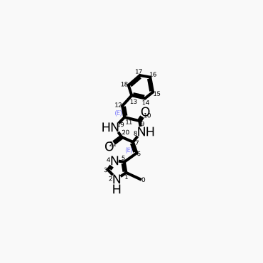 Cc1[nH]cnc1/C=c1/[nH]c(=O)/c(=C\c2ccccc2)[nH]c1=O